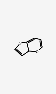 [C]1=CC2OC=CC=C2S1